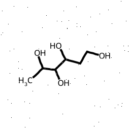 CC(O)C(O)[C](O)CCO